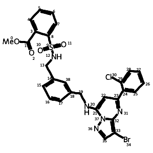 COC(=O)c1ccccc1S(=O)(=O)NCc1cccc(CNc2cc(-c3ccccc3Cl)nc3c(Br)cnn23)c1